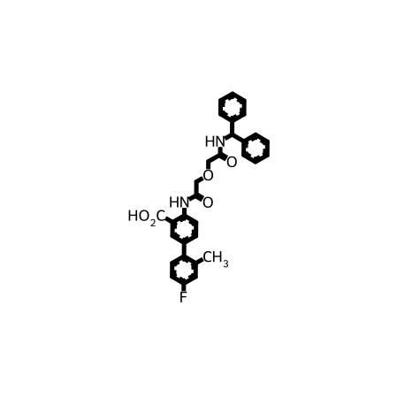 Cc1cc(F)ccc1-c1ccc(NC(=O)COCC(=O)NC(c2ccccc2)c2ccccc2)c(C(=O)O)c1